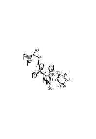 CC(CCOC(=O)c1nn(C)c(-c2ccccc2)c1Cl)=C(F)F